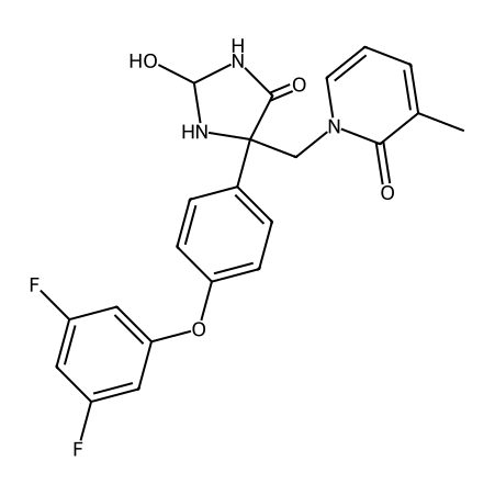 Cc1cccn(CC2(c3ccc(Oc4cc(F)cc(F)c4)cc3)NC(O)NC2=O)c1=O